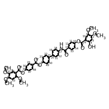 COc1cc(O)c(C(=O)Oc2ccc(C(=O)Nc3ccc(-c4ccc(OC(=O)c5ccc(OC(=O)c6cc(OC)c(OC)cc6OC)cc5)cc4)cc3)cc2)cc1OC